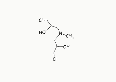 CN(CC(O)CCl)CC(O)CCl